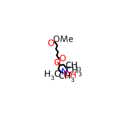 COC(=O)CCCCC(=O)OC1CC(C)(C)N(O)C(C)(C)C1